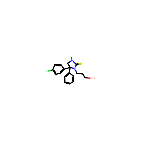 OCCCN1C(=S)NCC1(c1ccccc1)c1ccc(Cl)cc1